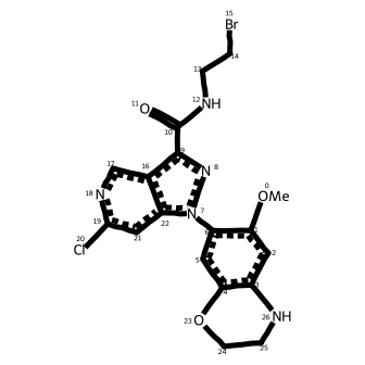 COc1cc2c(cc1-n1nc(C(=O)NCCBr)c3cnc(Cl)cc31)OCCN2